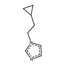 [c]1cn(CCC2CC2)cn1